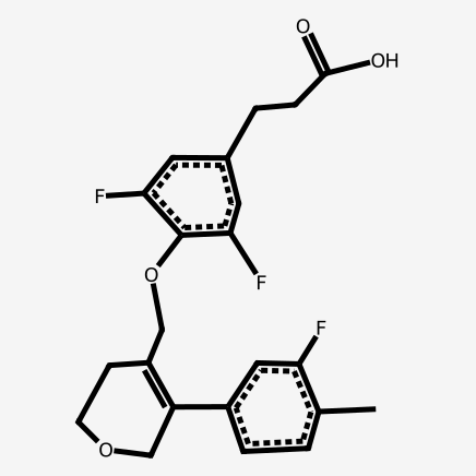 Cc1ccc(C2=C(COc3c(F)cc(CCC(=O)O)cc3F)CCOC2)cc1F